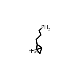 PCCCC1C2C[C@H]12